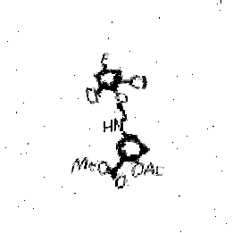 COC(=O)c1cc(NCCOc2c(Cl)cc(F)cc2Cl)ccc1OC(C)=O